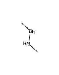 CBNC